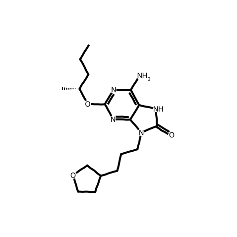 CCC[C@@H](C)Oc1nc(N)c2[nH]c(=O)n(CCCC3CCOC3)c2n1